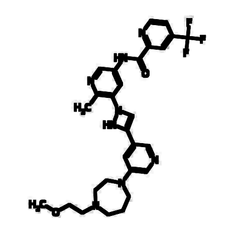 COCCN1CCCN(c2cncc(-c3cn(-c4cc(NC(=O)c5cc(C(F)(F)F)ccn5)cnc4C)[nH]3)c2)CC1